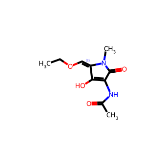 CCO/C=C1\C(O)=C(NC(C)=O)C(=O)N1C